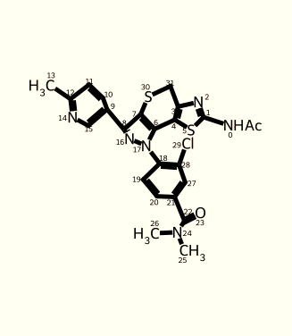 CC(=O)Nc1nc2c(s1)-c1c(c(-c3ccc(C)nc3)nn1-c1ccc(C(=O)N(C)C)cc1Cl)SC2